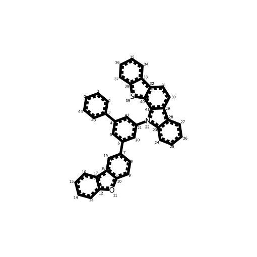 c1ccc(-c2cc(-c3ccc4oc5ccccc5c4c3)cc(-n3c4ccccc4c4ccc5c6ccccc6sc5c43)c2)cc1